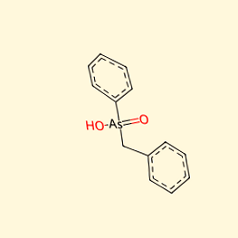 O=[As](O)(Cc1ccccc1)c1ccccc1